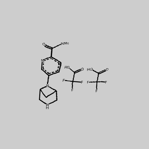 CNC(=O)c1ccc(N2C3CNCC2C3)cn1.O=C(O)C(F)(F)F.O=C(O)C(F)(F)F